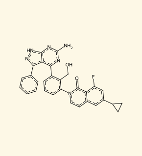 Nc1nc(-c2cccc(-n3ccc4cc(C5CC5)cc(F)c4c3=O)c2CO)c2c(-c3ccccc3)n[nH]c2n1